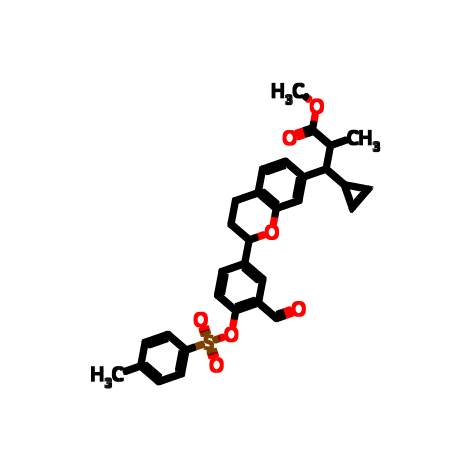 COC(=O)C(C)C(c1ccc2c(c1)OC(c1ccc(OS(=O)(=O)c3ccc(C)cc3)c(C=O)c1)CC2)C1CC1